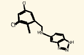 Cc1c(Cl)cc(Cl)cc1CNc1ccc2[nH]nnc2c1